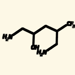 NCC(O)CC(CN)C(F)(F)F